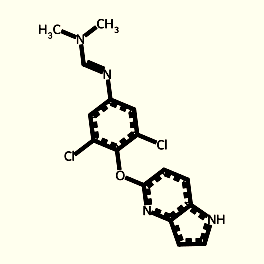 CN(C)/C=N/c1cc(Cl)c(Oc2ccc3[nH]ccc3n2)c(Cl)c1